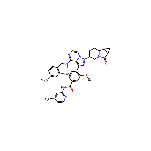 CCOc1cc(C(=O)Nc2cc(C(F)(F)F)ccn2)ccc1-c1nc(C2CCC3C4CC4C(=O)N3C2)n2ccnc(NCc3ccc(OC)cc3OC)c12